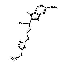 CCCCC(CCSc1nc(CC(=O)O)cs1)c1sc2cc(OC)ccc2c1C